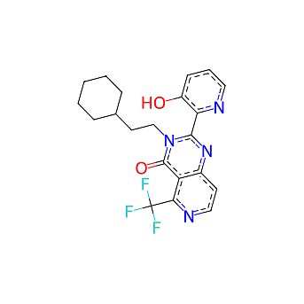 O=c1c2c(C(F)(F)F)nccc2nc(-c2ncccc2O)n1CCC1CCCCC1